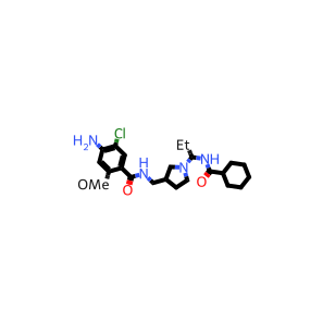 CCC(NC(=O)C1CCCCC1)N1CCC(CNC(=O)c2cc(Cl)c(N)cc2OC)C1